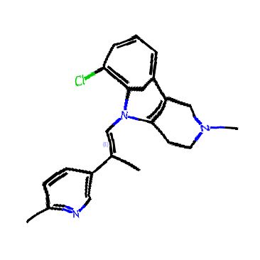 C/C(=C\n1c2c(c3cccc(Cl)c31)CN(C)CC2)c1ccc(C)nc1